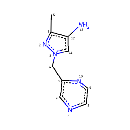 Cc1nn(Cc2cnccn2)cc1N